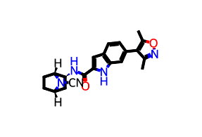 Cc1noc(C)c1-c1ccc2cc(C(=O)N[C@@H]3C[C@@H]4CC[C@H]3N4C#N)[nH]c2c1